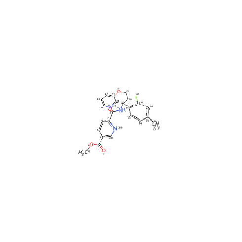 COC(=O)c1ccc(C(=O)N[C@]2(c3ccc(C)cc3F)CCOc3cccnc32)nc1